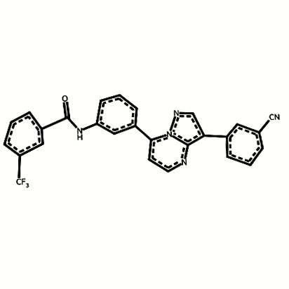 N#Cc1cccc(-c2cnn3c(-c4cccc(NC(=O)c5cccc(C(F)(F)F)c5)c4)ccnc23)c1